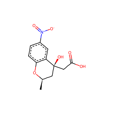 C[C@@H]1C[C@@](O)(CC(=O)O)c2cc([N+](=O)[O-])ccc2O1